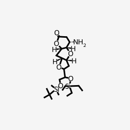 CC[Si](CC)(CC)OC(CO[Si](C)(C)C(C)(C)C)C1C[C@H]2O[C@@H]3[C@H](C[C@H]2O1)OC(=O)C[C@@H]3N